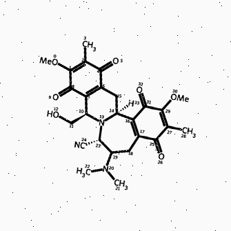 COC1=C(C)C(=O)C2=C(C1=O)[C@H](CO)N1[C@@H](C2)C2=C(CC(N(C)C)[C@@H]1C#N)C(=O)C(C)=C(OC)C2=O